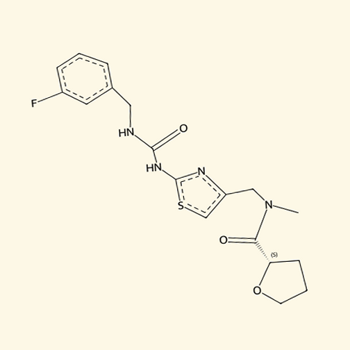 CN(Cc1csc(NC(=O)NCc2cccc(F)c2)n1)C(=O)[C@@H]1CCCO1